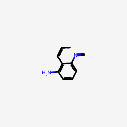 C=Nc1cccc(N)c1/C=C\C